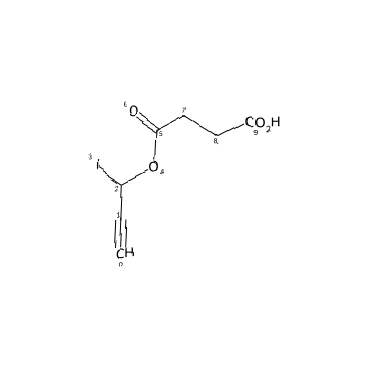 C#CC(I)OC(=O)CCC(=O)O